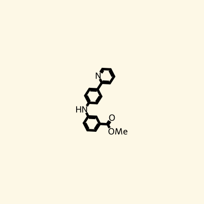 COC(=O)c1cccc(Nc2ccc(-c3ccccn3)cc2)c1